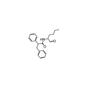 CCCCC([C]=O)NC(=O)C(Cc1ccccc1)c1ccccc1